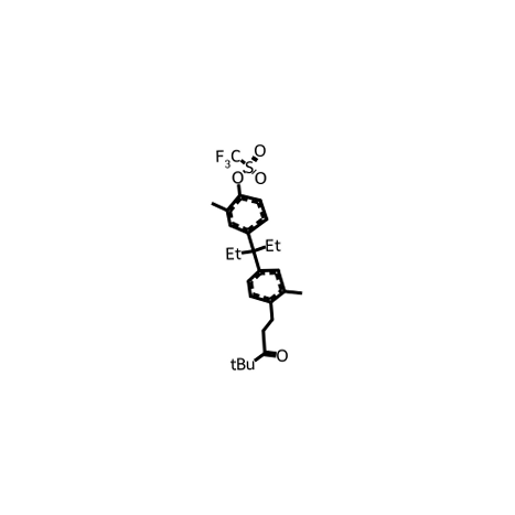 CCC(CC)(c1ccc(CCC(=O)C(C)(C)C)c(C)c1)c1ccc(OS(=O)(=O)C(F)(F)F)c(C)c1